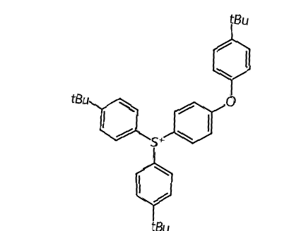 CC(C)(C)c1ccc(Oc2ccc([S+](c3ccc(C(C)(C)C)cc3)c3ccc(C(C)(C)C)cc3)cc2)cc1